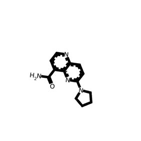 NC(=O)c1ccnc2ccc(N3CCCC3)nc12